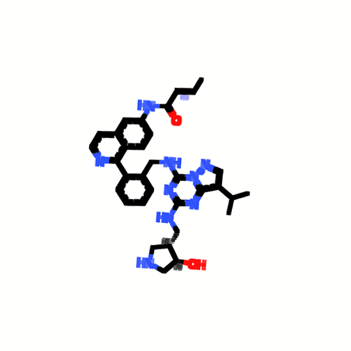 C/C=C/C(=O)Nc1ccc2c(-c3ccccc3CNc3nc(NC[C@H]4CNC[C@@H]4O)nc4c(C(C)C)cnn34)nccc2c1